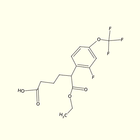 CCOC(=O)C(CCCC(=O)O)c1ccc(OC(F)(F)F)cc1F